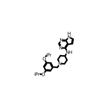 CC(C)Oc1cc(CN2CCC(Nc3ncnc4[nH]ccc34)CC2)cc(OC(C)C)c1